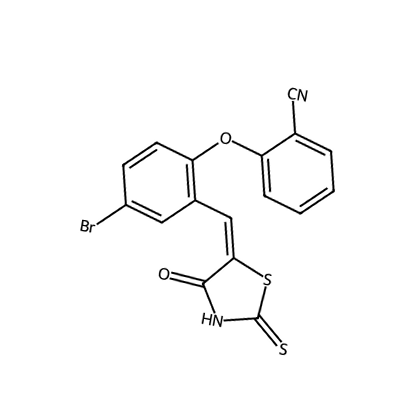 N#Cc1ccccc1Oc1ccc(Br)cc1/C=C1/SC(=S)NC1=O